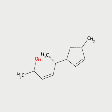 CC(O)/C=C\[C@H](C)C1C=CC(C)C1